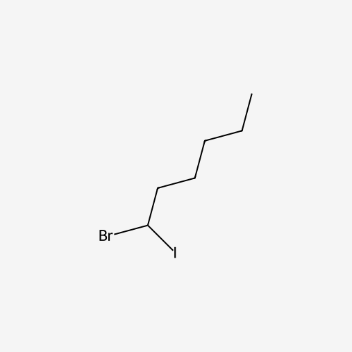 CCCCCC(Br)I